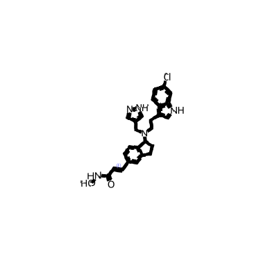 O=C(/C=C/c1ccc2c(c1)CCC2N(CCc1c[nH]c2cc(Cl)ccc12)Cc1cn[nH]c1)NO